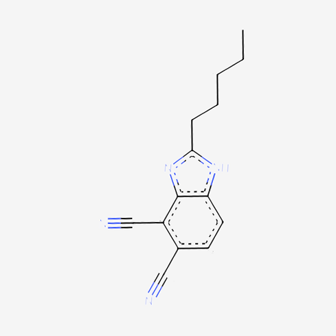 CCCCCc1nc2c(C#N)c(C#N)ccc2[nH]1